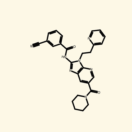 N#Cc1cccc(C(=O)Nc2nc3cc(C(=O)N4CCCCC4)cnc3n2CCc2ccccn2)c1